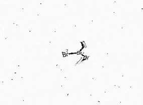 [CH3][Bi]([Br])[Br]